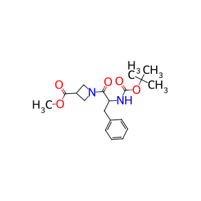 COC(=O)C1CN(C(=O)C(Cc2ccccc2)NC(=O)OC(C)(C)C)C1